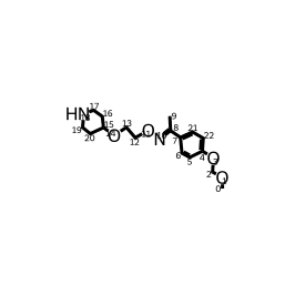 COCOc1ccc(C(C)=NOCCOC2CCNCC2)cc1